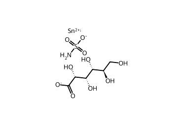 NS(=O)(=O)[O-].O=C([O-])[C@H](O)[C@@H](O)[C@H](O)[C@H](O)CO.[Sn+2]